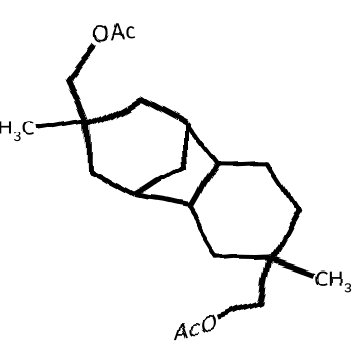 CC(=O)OCC1(C)CC2CC(C1)C1CC(C)(COC(C)=O)CCC21